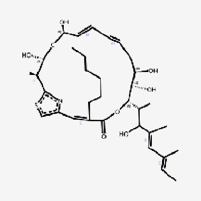 C/C=C(C)/C=C(\C)C(O)C(C)[C@@H]1OC(=O)/C(CCCCCC)=C/c2csc(n2)[C@@H](C)[C@H](O)C[C@@H](O)/C=C/C=C\C[C@@H](O)[C@@H]1O